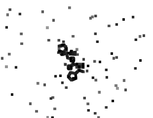 CC(=O)C1(COC(=O)NC(C)C2CCCC2)CC2C=CC1C2